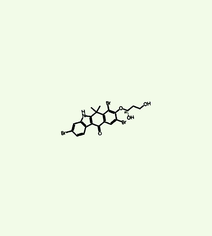 CC1(C)c2[nH]c3cc(Br)ccc3c2C(=O)c2cc(Br)c(O[C@@H](O)CCO)c(Br)c21